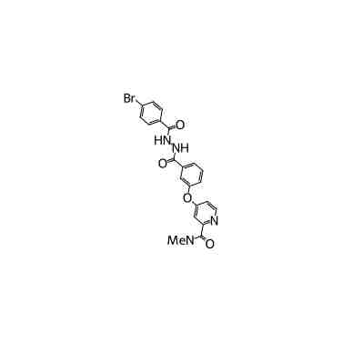 CNC(=O)c1cc(Oc2cccc(C(=O)NNC(=O)c3ccc(Br)cc3)c2)ccn1